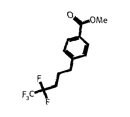 COC(=O)c1ccc(CCCC(F)(F)C(F)(F)F)cc1